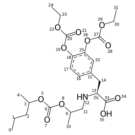 CCCC(C)OC(=O)OC(C)CN[C@@H](Cc1ccc(OC(=O)OCC)c(OC(=O)OCC)c1)C(=O)O